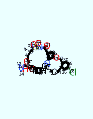 C[C@@H]1[C@@H](C)CCC[C@@](O)(CC(=O)N(C)C)[C@@H]2CC[C@H]2CN2CCCCc3cc(Cl)ccc3COc3ccc(cc32)C(=O)NS1(=O)=O